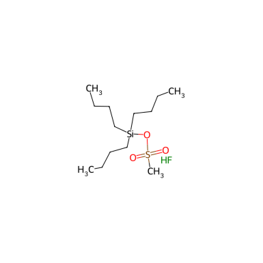 CCCC[Si](CCCC)(CCCC)OS(C)(=O)=O.F